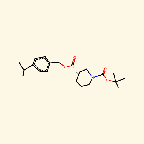 CC(C)c1ccc(COC(=O)[C@H]2CCCN(C(=O)OC(C)(C)C)C2)cc1